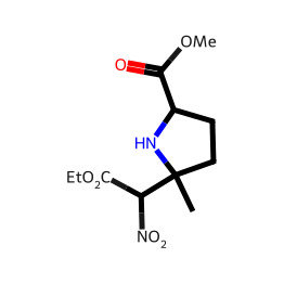 CCOC(=O)C([N+](=O)[O-])C1(C)CCC(C(=O)OC)N1